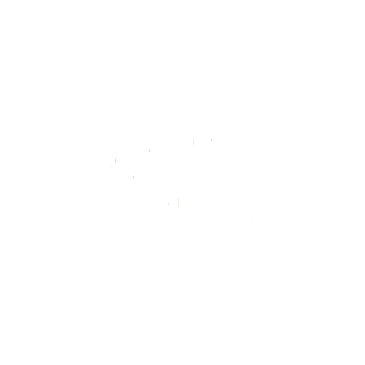 CCCCCCCCC(COS(C)(=O)=O)c1ccc(Cl)cc1Cl